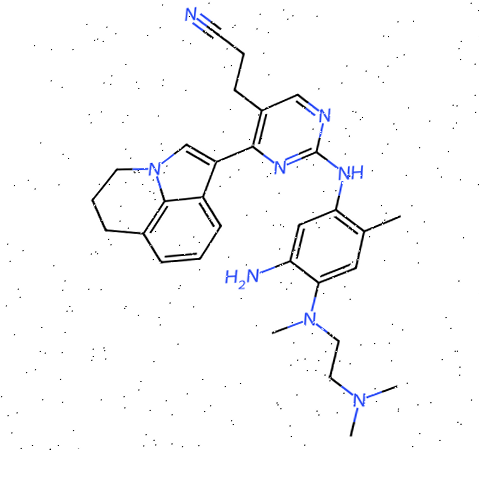 Cc1cc(N(C)CCN(C)C)c(N)cc1Nc1ncc(CCC#N)c(-c2cn3c4c(cccc24)CCC3)n1